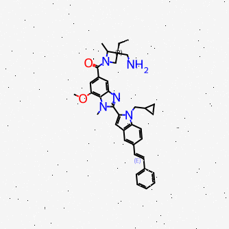 CC[C@@]1(CN)CN(C(=O)c2cc(OC)c3c(c2)nc(-c2cc4cc(/C=C/c5ccccc5)ccc4n2CC2CC2)n3C)C1C